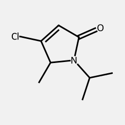 CC(C)N1C(=O)C=C(Cl)C1C